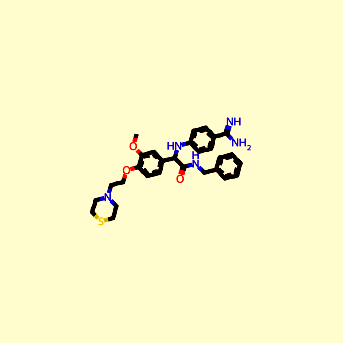 COc1cc(C(Nc2ccc(C(=N)N)cc2)C(=O)NCc2ccccc2)ccc1OCCN1CCSCC1